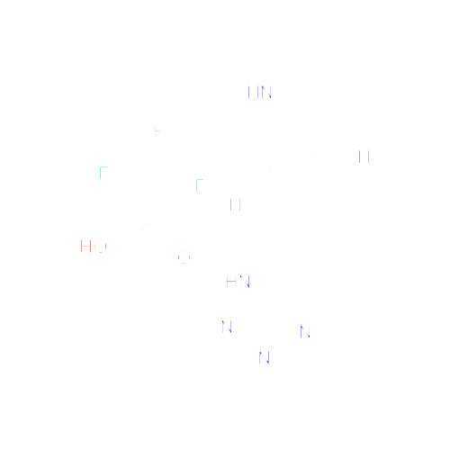 C1NC[C@H]2[C@@H]1[C@@H]2Cc1nnn[nH]1.O=C(O)C(F)(F)F